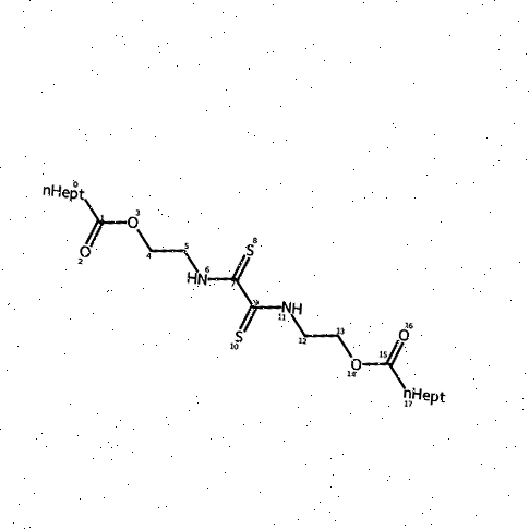 CCCCCCCC(=O)OCCNC(=S)C(=S)NCCOC(=O)CCCCCCC